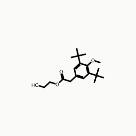 COc1c(C(C)(C)C)cc(CC(=O)OCCO)cc1C(C)(C)C